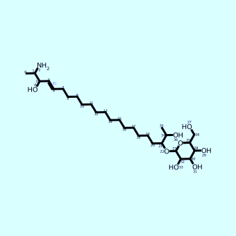 CC(N)C(O)/C=C/CCCCCCCCCCCCCCC(OC1OC(CO)C(O)C(O)C1O)C(C)O